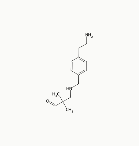 CC(C)(C=O)CNCc1ccc(CCN)cc1